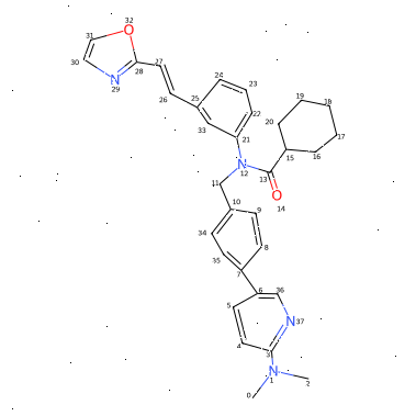 CN(C)c1ccc(-c2ccc(CN(C(=O)C3CCCCC3)c3cccc(/C=C/c4ncco4)c3)cc2)cn1